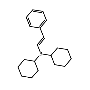 C(=Cc1ccccc1)B(C1CCCCC1)C1CCCCC1